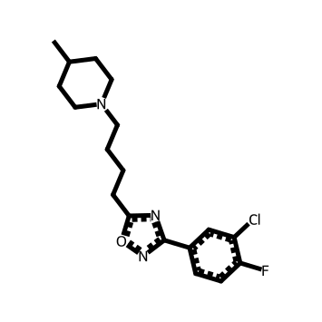 CC1CCN(CCCCc2nc(-c3ccc(F)c(Cl)c3)no2)CC1